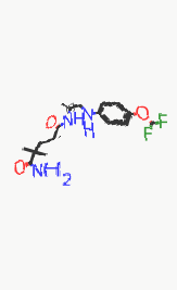 C[C@@H](CNc1ccc(OC(F)F)cc1)NC(=O)[CH]CC(C)(C)C(N)=O